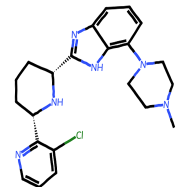 CN1CCN(c2cccc3nc([C@H]4CCC[C@@H](c5ncccc5Cl)N4)[nH]c23)CC1